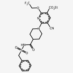 CCOC(=O)c1cc(C#N)c(N2CCC(C(=O)NS(=O)(=O)Cc3ccccc3)CC2)nc1OCC(F)(F)F